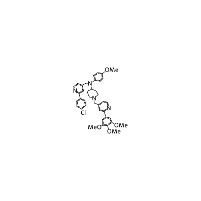 COc1ccc(N(Cc2ccnc(-c3ccc(Cl)cc3)c2)C2CCN(Cc3ccnc(-c4cc(OC)c(OC)c(OC)c4)c3)CC2)cc1